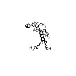 COCCCOc1cc(C[C@@H](C[C@H](N)[C@@H](O)C[C@H](C(=O)NCCN2CCOCC2)C(C)C)C(C)C)ccc1OCCCO.Cl